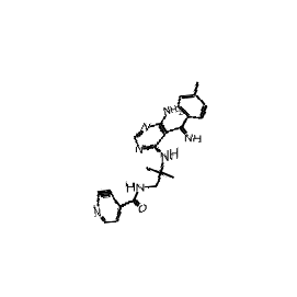 Cc1ccc(C(=N)c2c(N)ncnc2NC(C)(C)CNC(=O)c2ccncc2)cc1